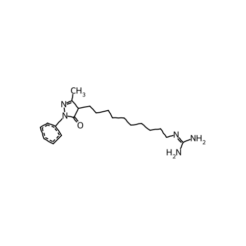 CC1=NN(c2ccccc2)C(=O)C1CCCCCCCCCCN=C(N)N